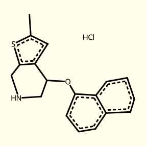 Cc1cc2c(s1)CNCC2Oc1cccc2ccccc12.Cl